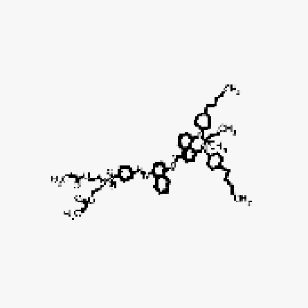 C=CC(=O)OCCN(CCOC(=O)C=C)S(=O)(=O)c1ccc(/N=N/c2ccc(/N=N/c3ccc4c5c(cccc35)N(C3CCC(CCCCC)CC3)C(C)(CCC)N4C3CCC(CCCCC)CC3)c3ccccc23)cc1